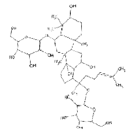 CC(C)=CCCC(C)(OC1OC(CO)C(O)C(O)C1O)C1CCC2(C)C1C(O)CC1C3(C)CCC(O)C(C)(C)C3C(OC3OC(CO)C(O)C(O)C3O)CC12C